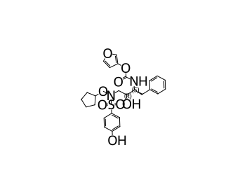 O=C(N[C@@H](Cc1ccccc1)[C@H](O)CN(OC1CCCC1)S(=O)(=O)c1ccc(O)cc1)Oc1ccoc1